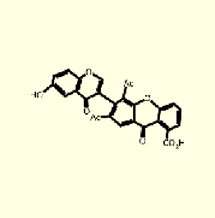 CC(=O)c1cc2c(=O)c3c(C(=O)O)cccc3oc2c(C(C)=O)c1-c1coc2ccc(O)cc2c1=O